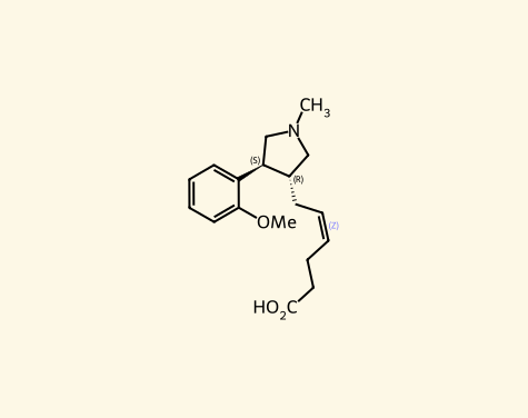 COc1ccccc1[C@H]1CN(C)C[C@@H]1C/C=C\CCC(=O)O